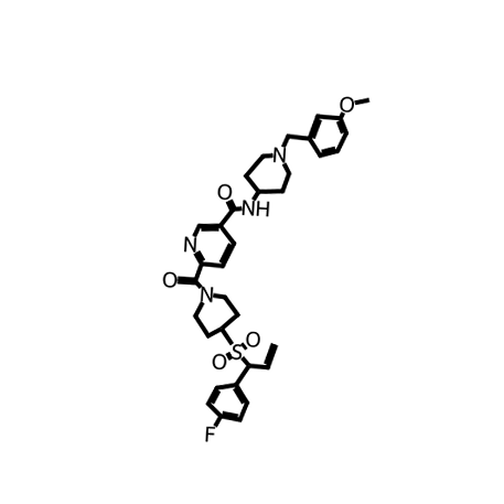 C=CC(c1ccc(F)cc1)S(=O)(=O)C1CCN(C(=O)c2ccc(C(=O)NC3CCN(Cc4cccc(OC)c4)CC3)cn2)CC1